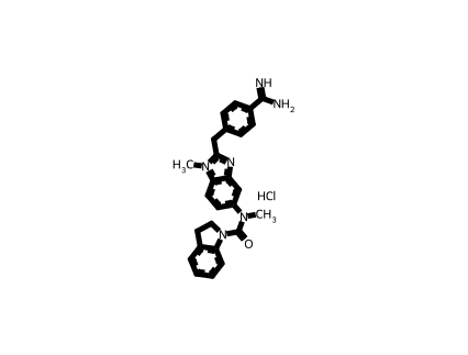 CN(C(=O)N1CCc2ccccc21)c1ccc2c(c1)nc(Cc1ccc(C(=N)N)cc1)n2C.Cl